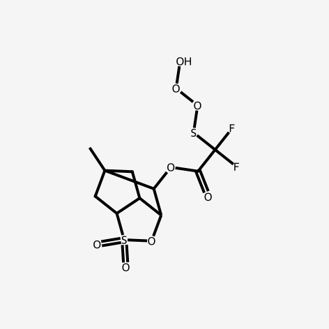 CC12CC3C(OS(=O)(=O)C3C1)C2OC(=O)C(F)(F)SOOO